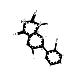 Cn1c(=O)[nH]c(=O)c2cc(F)c(-c3ccccc3F)nc21